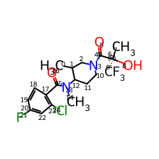 CC1CN(C(=O)[C@@](C)(O)C(F)(F)F)CCC1N(C)C(=O)c1ccc(F)cc1Cl